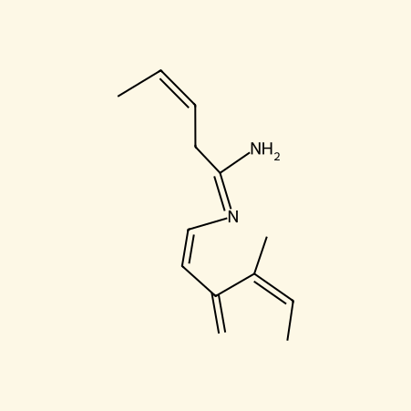 C=C(/C=C\N=C(\N)C/C=C\C)/C(C)=C\C